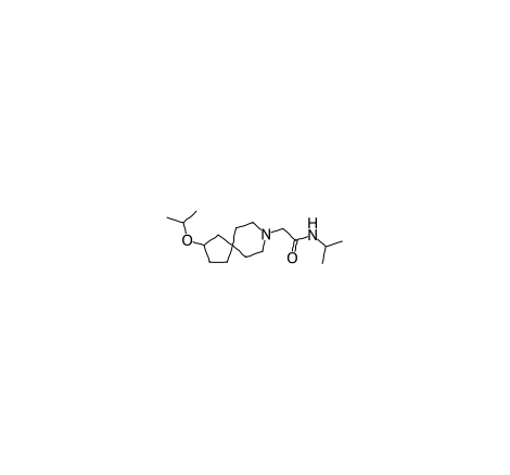 CC(C)NC(=O)CN1CCC2(CCC(OC(C)C)C2)CC1